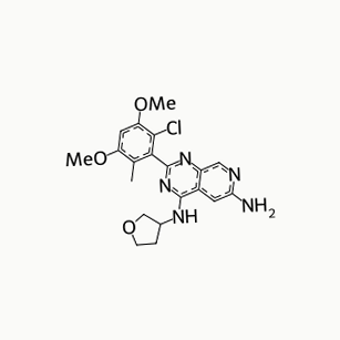 COc1cc(OC)c(Cl)c(-c2nc(NC3CCOC3)c3cc(N)ncc3n2)c1C